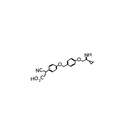 N#CC(CC(=O)O)c1ccc(OCc2ccc(OCC(=N)C3CC3)cc2)cc1